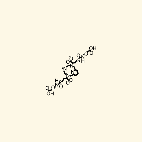 COC(=O)C(CCSC(=O)NCOCC(=O)O)N1CCN(C)CCN(C(CCSC(=O)NCOCC(=O)O)C(=O)OC)Cc2cccc(n2)C1